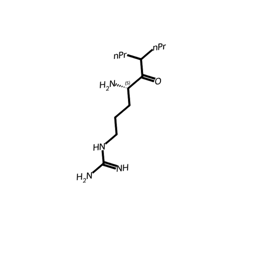 CCCC(CCC)C(=O)[C@@H](N)CCCNC(=N)N